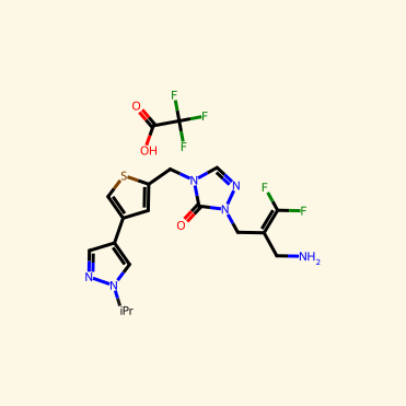 CC(C)n1cc(-c2csc(Cn3cnn(CC(CN)=C(F)F)c3=O)c2)cn1.O=C(O)C(F)(F)F